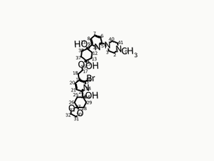 CN1CCN(c2cccc(C3(O)CCC(O)(OCCc4ccc(C5(O)CCC6(CC5)OCCO6)nc4Br)CC3)n2)CC1